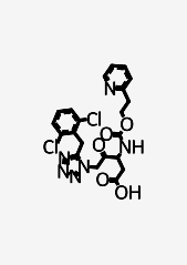 O=C(O)CC(NC(=O)OCCc1ccccn1)C(=O)Cn1nnnc1Cc1c(Cl)cccc1Cl